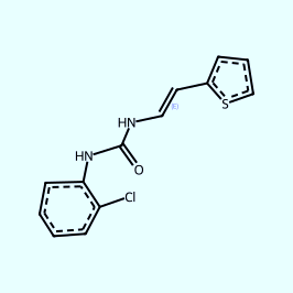 O=C(N/C=C/c1cccs1)Nc1ccccc1Cl